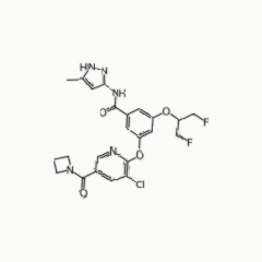 Cc1cc(NC(=O)c2cc(Oc3ncc(C(=O)N4CCC4)cc3Cl)cc(OC(CF)CF)c2)n[nH]1